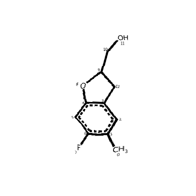 Cc1cc2c(cc1F)OC(CO)C2